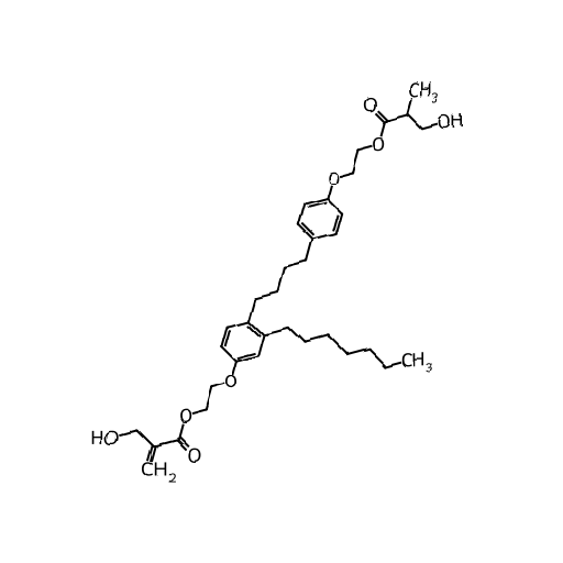 C=C(CO)C(=O)OCCOc1ccc(CCCCc2ccc(OCCOC(=O)C(C)CO)cc2)c(CCCCCCC)c1